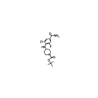 CC(C)(C)OC(=O)N1CCC(Nc2c(F)cc(C(N)=O)cc2Cl)CC1